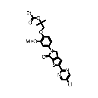 CCC(=O)OC(C)(C)COc1ccc(N2Cc3cc(-c4ncc(Cl)cn4)sc3C2=O)cc1OC